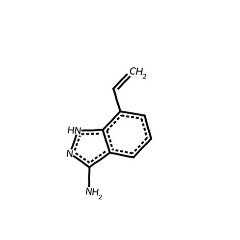 C=Cc1cccc2c(N)n[nH]c12